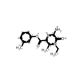 CCn1c(C)c(C(=O)Oc2cccc(C)c2)nc(N)c1=O